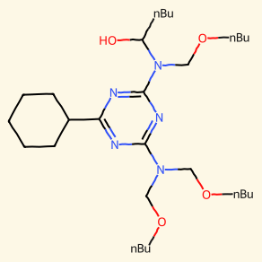 CCCCOCN(COCCCC)c1nc(C2CCCCC2)nc(N(COCCCC)C(O)CCCC)n1